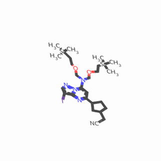 C[Si](C)(C)CCOCN(COCC[Si](C)(C)C)c1cc(C2CCC(CC#N)C2)nc2c(I)cnn12